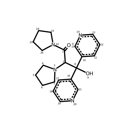 O=C(C(N1CCCC1)C(O)(c1cccnc1)c1cccnc1)N1CCCC1